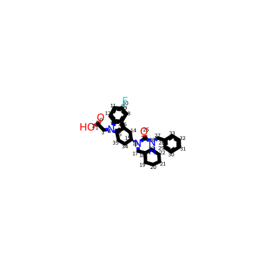 O=C(O)Cn1c2c(c3cc(F)ccc31)C[C@@H](N(CC1CCCCC1)C(=O)NCc1ccccc1)CC2